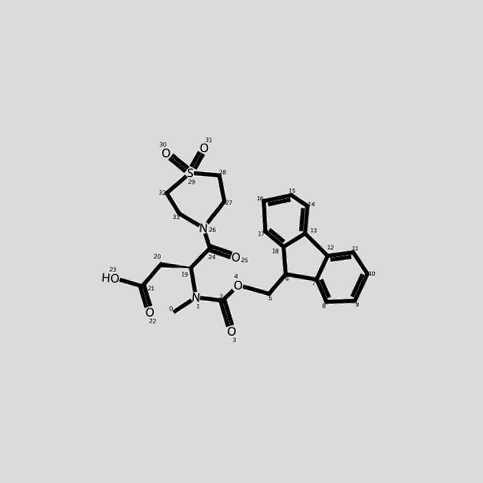 CN(C(=O)OCC1c2ccccc2-c2ccccc21)[C@@H](CC(=O)O)C(=O)N1CCS(=O)(=O)CC1